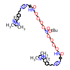 CCc1nn2c(C)cc(C)nc2c1Cc1ccc(/C=C/CN2CCN(CC34CC(C(=O)NCCOCCOCCOCCOCCN(CCOCCOCCOCCOCCNC(=O)C56CC(CN7CCN(C/C=C/c8ccc(Cc9c(CC)nn%10c(C)cc(C)nc9%10)cc8)CC7)(C5)C6)C(=O)OC(C)(C)C)(C3)C4)CC2)cc1